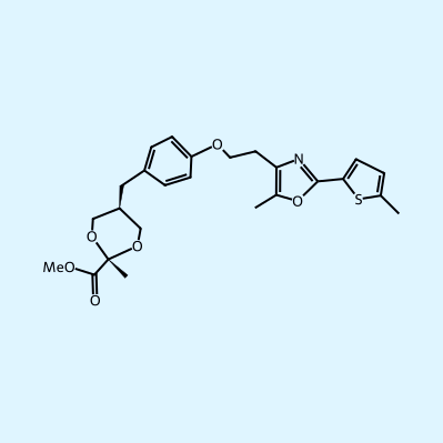 COC(=O)[C@]1(C)OC[C@@H](Cc2ccc(OCCc3nc(-c4ccc(C)s4)oc3C)cc2)CO1